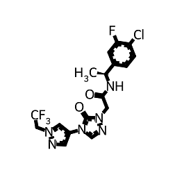 C[C@H](NC(=O)Cn1ncn(-c2cnn(CC(F)(F)F)c2)c1=O)c1ccc(Cl)c(F)c1